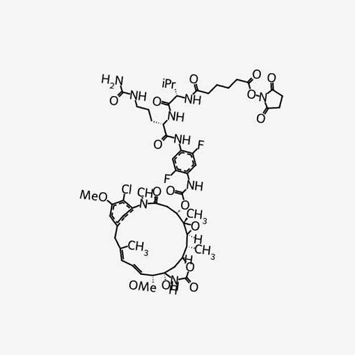 COc1cc2cc(c1Cl)N(C)C(=O)C[C@H](OC(=O)Nc1cc(F)c(NC(=O)[C@H](CCCNC(N)=O)NC(=O)[C@@H](NC(=O)CCCCC(=O)ON3C(=O)CCC3=O)C(C)C)cc1F)[C@]1(C)O[C@H]1[C@H](C)[C@@H]1C[C@@](O)(NC(=O)O1)[C@H](OC)/C=C/C=C(\C)C2